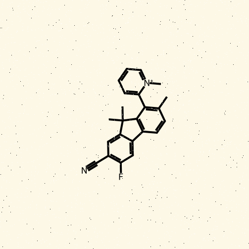 Cc1ccc2c(c1-c1cccc[n+]1C)C(C)(C)c1cc(C#N)c(F)cc1-2